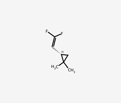 CC1(C)C[C@H]1C=C(F)F